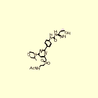 CC(=O)NCCS(=O)(=O)Cc1cc(N2CCOC[C@@H]2C)nc(-c2ccc(NC(=O)NC(=N)/C=C\O)cc2)n1